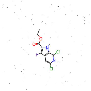 CCOC(=O)c1c(I)c2cc(Cl)nc(Cl)c2n1C